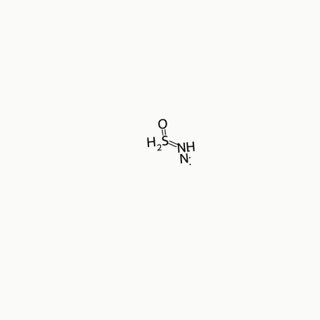 N=[SH2]=O.[N]